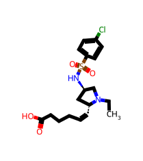 CCN1C[C@H](NS(=O)(=O)c2ccc(Cl)cc2)C[C@H]1/C=C\CCCC(=O)O